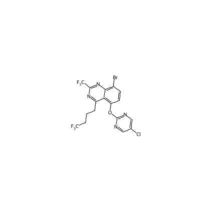 FC(F)(F)CCCc1nc(C(F)(F)F)nc2c(Br)ccc(Oc3ncc(Cl)cn3)c12